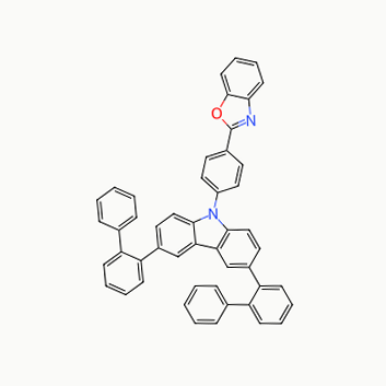 c1ccc(-c2ccccc2-c2ccc3c(c2)c2cc(-c4ccccc4-c4ccccc4)ccc2n3-c2ccc(-c3nc4ccccc4o3)cc2)cc1